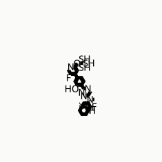 CN(c1cnc(-c2ccc(-c3cc(OC(S)(S)S)ncc3F)cc2O)nn1)[C@H]1C[C@]2(C)CCC[C@@H](C2)[C@H]1F